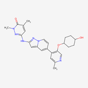 Cc1cc(-c2ccn3nc(Nc4cc(C)c(=O)n(C)n4)cc3c2)c(OC2CCC(O)CC2)cn1